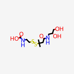 CC(C)(CC(=O)NCC(O)CO)SSCCNC(=O)O